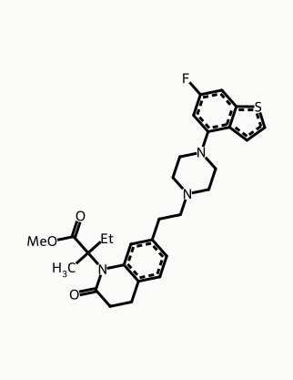 CCC(C)(C(=O)OC)N1C(=O)CCc2ccc(CCN3CCN(c4cc(F)cc5sccc45)CC3)cc21